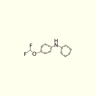 FC(F)Oc1ccc(Nc2ccccc2)cc1